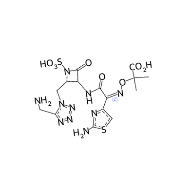 CC(C)(O/N=C(\C(=O)NC1C(=O)N(S(=O)(=O)O)C1Cn1nnnc1CN)c1csc(N)n1)C(=O)O